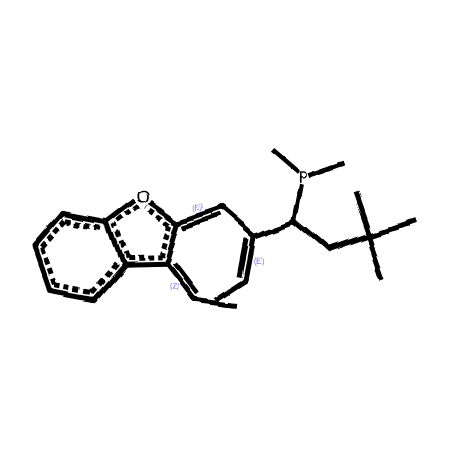 C\C=c1/c(=C\C(=C/C)C(CC(C)(C)C)P(C)C)oc2ccccc12